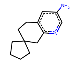 Nc1cnc2c(c1)CCC1(CCCC1)C2